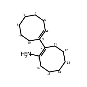 NC1=C(C2=CCCCCCC2)CCCCCC1